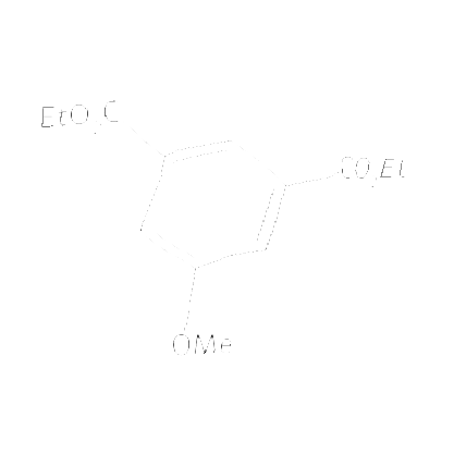 CCOC(=O)c1cc(OC)cc(C(=O)OCC)c1